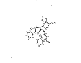 N#Cc1cc2c(c3c1CCC3)c1cc3oc4ccccc4c3c3c4c5c(c(C#N)cc4n2c13)CCCC5